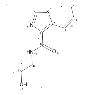 C/C=C\c1scnc1C(=O)NCCO